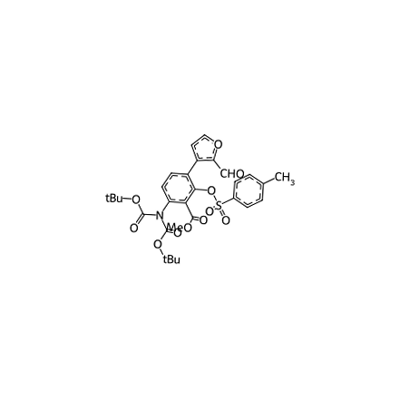 COC(=O)c1c(N(C(=O)OC(C)(C)C)C(=O)OC(C)(C)C)ccc(-c2ccoc2C=O)c1OS(=O)(=O)c1ccc(C)cc1